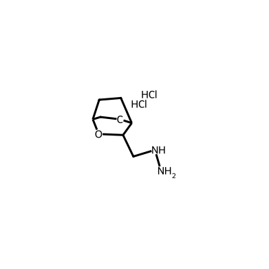 Cl.Cl.NNCC1OC2CCC1CC2